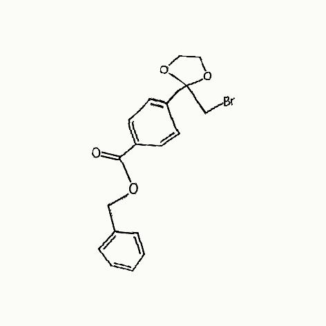 O=C(OCc1ccccc1)c1ccc(C2(CBr)OCCO2)cc1